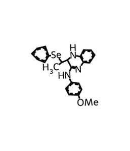 COc1ccc(NC2=Nc3ccccc3NC2C(C)[Se]c2ccccc2)cc1